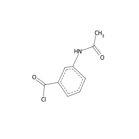 CC(=O)Nc1cccc(C(=O)Cl)c1